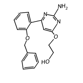 Nc1nc(OCCO)cc(-c2c[c]ccc2OCc2ccccc2)n1